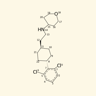 Clc1cccc(Cl)c1[C@H]1CC[C@H](CCNC2CCOCC2)CC1